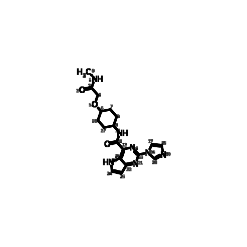 CNC(=O)COC1CCC(NC(=O)c2nc(-n3ccnc3)nc3cc[nH]c23)CC1